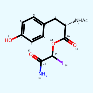 CC(=O)N[C@@H](Cc1ccc(O)cc1)C(=O)OC(I)C(N)=O